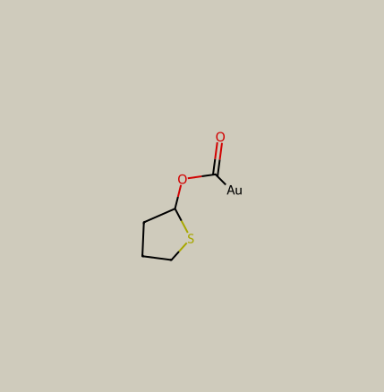 O=[C]([Au])OC1CCCS1